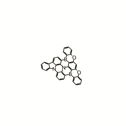 c1ccc2c(c1)Oc1cc3c4c5c1B2c1cccc2c1N5c1c(ccc5c6ccccc6n-2c15)B4c1ccccc1O3